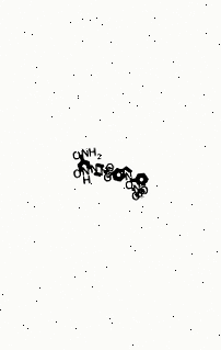 CN(c1ccccc1C(=O)N1CCc2cc(S(=O)(=O)N3CCN(c4cc(C(N)=O)cc(=O)[nH]4)CC3)ccc21)S(C)(=O)=O